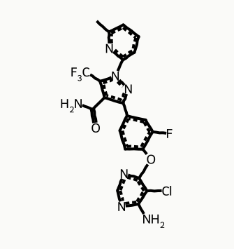 Cc1cccc(-n2nc(-c3ccc(Oc4ncnc(N)c4Cl)c(F)c3)c(C(N)=O)c2C(F)(F)F)n1